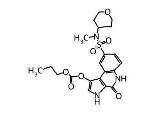 CCCOC(=O)Oc1c[nH]c2c(=O)[nH]c3ccc(S(=O)(=O)N(C)C4CCOCC4)cc3c12